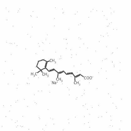 CC1=C(/C=C/C(C)=C/C=C/C(C)=C/C(=O)[O-])C(C)(C)CCC1.[Na+]